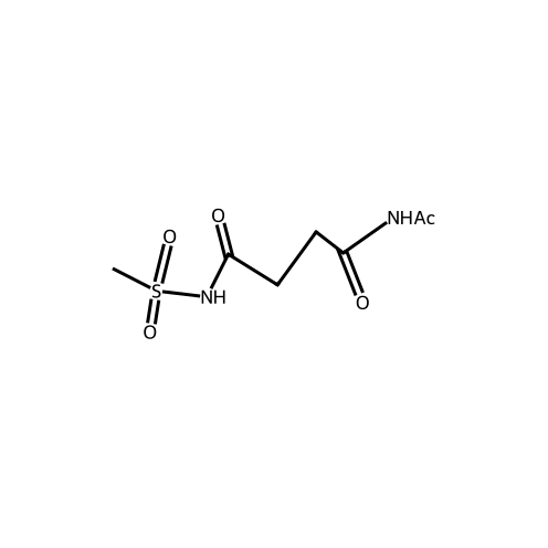 CC(=O)NC(=O)CCC(=O)NS(C)(=O)=O